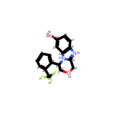 FC(F)(F)c1ccccc1C1COCc2nc3ccc(Br)cc3n21